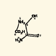 NC(=O)CO.NC(=O)O